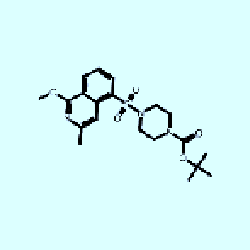 COc1nc(C)cc2c(S(=O)(=O)N3CCN(C(=O)OC(C)(C)C)CC3)cccc12